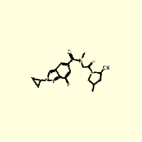 CC1CC(C#N)N(C(=O)CN(C)C(=O)c2cc(F)c3nn(C4CC4)cc3c2)C1